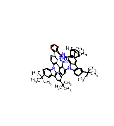 CC(C)(C)c1ccc2c(c1)c1cc(C(C)(C)C)ccc1n2-c1ccc(-c2ccccc2C#N)cc1-c1cccc(-n2c3ccc(C(C)(C)C)cc3c3cc(C(C)(C)C)ccc32)c1-c1nc(-c2ccccc2)nc(-c2ccccc2)n1